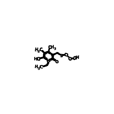 CCn1c(O)c(C)c(C)c(CSOOO)c1=O